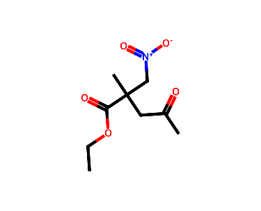 CCOC(=O)C(C)(CC(C)=O)C[N+](=O)[O-]